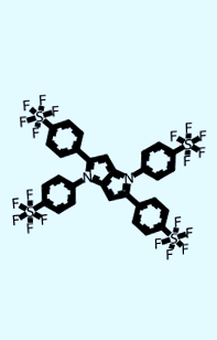 FS(F)(F)(F)(F)c1ccc(-c2cc3c(cc(-c4ccc(S(F)(F)(F)(F)F)cc4)n3-c3ccc(S(F)(F)(F)(F)F)cc3)n2-c2ccc(S(F)(F)(F)(F)F)cc2)cc1